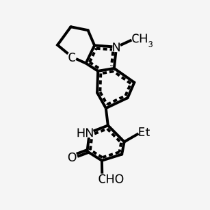 CCc1cc(C=O)c(=O)[nH]c1-c1ccc2c(c1)c1c(n2C)CCCC1